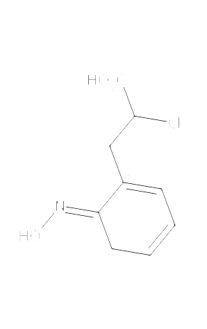 O=C(O)C(Cl)CC1=CC=CCC1=NO